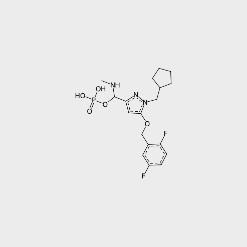 CNC(OP(=O)(O)O)c1cc(OCc2cc(F)ccc2F)n(CC2CCCC2)n1